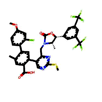 COc1ccc(-c2cc(-c3cnc(SC)nc3CN3C(=O)O[C@H](c4cc(C(F)(F)F)cc(C(F)(F)F)c4)[C@@H]3C)c(C(=O)O)cc2C)c(F)c1